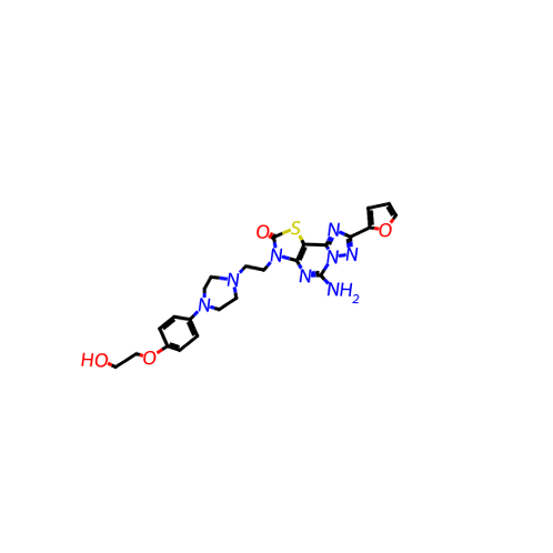 Nc1nc2c(sc(=O)n2CCN2CCN(c3ccc(OCCO)cc3)CC2)c2nc(-c3ccco3)nn12